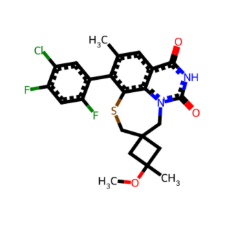 COC1(C)CC2(CSc3c(-c4cc(Cl)c(F)cc4F)c(C)cc4c(=O)[nH]c(=O)n(c34)C2)C1